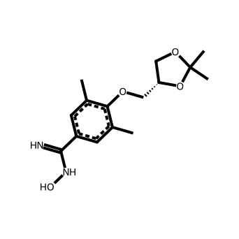 Cc1cc(C(=N)NO)cc(C)c1OC[C@@H]1COC(C)(C)O1